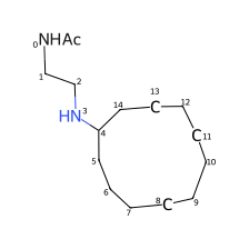 CC(=O)NCCNC1CCCCCCCCCC1